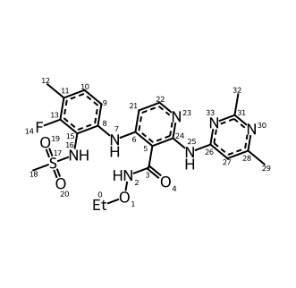 CCONC(=O)c1c(Nc2ccc(C)c(F)c2NS(C)(=O)=O)ccnc1Nc1cc(C)nc(C)n1